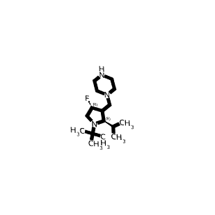 CC(C)[C@@H]1C(CN2CCNCC2)[C@@H](F)CN1C(C)(C)C